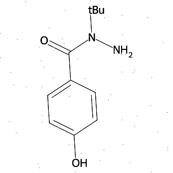 CC(C)(C)N(N)C(=O)c1ccc(O)cc1